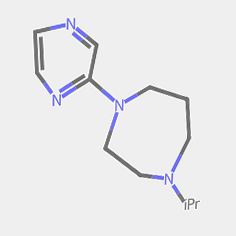 CC(C)N1CCCN(c2cnccn2)CC1